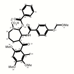 COCOc1ccc(C(=O)NC2C(C(=O)c3c(OC)cc(OC)c(OC)c3F)CCCN(C(=O)O)C2OC(=O)c2ccccc2)cc1